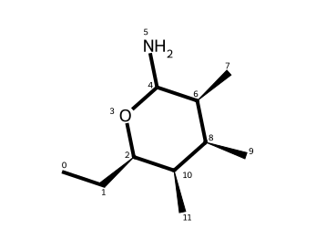 CC[C@H]1OC(N)[C@@H](C)[C@@H](C)[C@H]1C